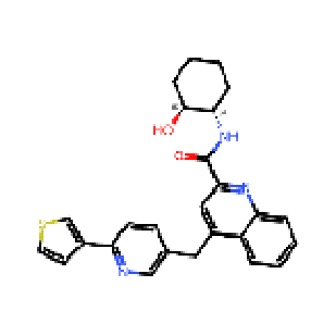 O=C(N[C@H]1CCCC[C@@H]1O)c1cc(Cc2ccc(-c3ccsc3)nc2)c2ccccc2n1